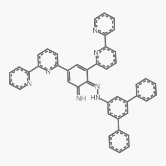 N=C1C=C(c2cccc(-c3ccccn3)n2)C=C(c2cccc(-c3ccccn3)n2)/C1=N/Nc1cc(-c2ccccc2)cc(-c2ccccc2)c1